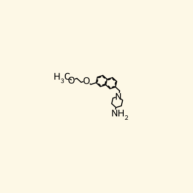 COCCOCc1ccc2ccc(CN3CCC(N)CC3)cc2c1